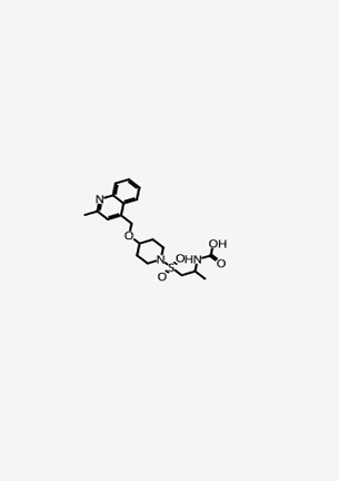 Cc1cc(COC2CCN(S(=O)(=O)CC(C)NC(=O)O)CC2)c2ccccc2n1